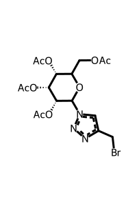 CC(=O)OCC1OC(n2cc(CBr)nn2)[C@H](OC(C)=O)[C@H](OC(C)=O)[C@@H]1OC(C)=O